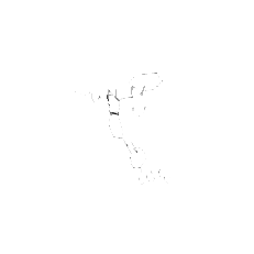 CCCn1nc(C(=O)N2CCCCC2)c2c1CCC(N1CCC(OC)CC1)C2